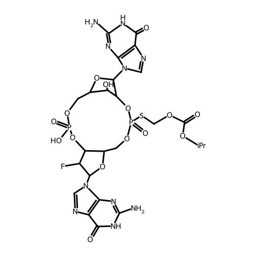 CC(C)OC(=O)OCSP1(=O)OCC2OC(n3cnc4c(=O)[nH]c(N)nc43)C(F)C2OP(=O)(O)OCC2OC(n3cnc4c(=O)[nH]c(N)nc43)C(O1)C2O